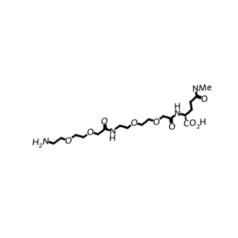 CNC(=O)CC[C@H](NC(=O)COCCOCCNC(=O)COCCOCCN)C(=O)O